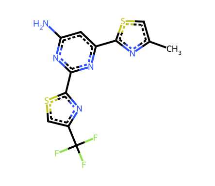 Cc1csc(-c2cc(N)nc(-c3nc(C(F)(F)F)cs3)n2)n1